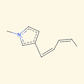 C/C=C\C=C/c1ccn(C)c1